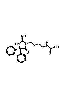 N=C1NC(c2ccccc2)(c2ccccc2)C(=O)N1CCCCNC(=O)O